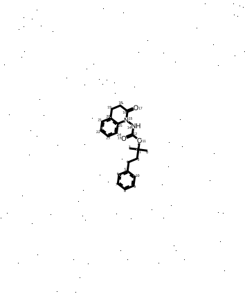 CC(C)(CCc1ccccc1)OC(=O)NN1C(=O)CCc2ccccc21